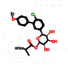 CCCCCCC(C)C(=O)O[C@H]1O[C@@H](c2ccc(Cl)c(-c3ccc(OCC)cc3)c2)[C@H](O)[C@@H](O)[C@@H]1O